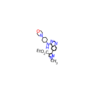 CCOC(=O)c1cn(C)nc1-c1ccc2ncnc(N[C@H]3CC[C@H](N4CCOCC4)CC3)c2c1